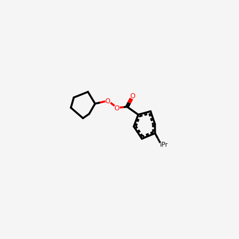 CC(C)c1ccc(C(=O)OO[C]2CCCCC2)cc1